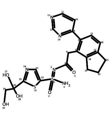 NS(=O)(=NC(=O)Cc1c(-c2ccncn2)ccc2c1CCC2)c1cnc(C(O)(O)CO)s1